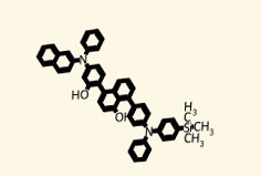 C[Si](C)(C)c1ccc(N(c2ccccc2)c2ccc(-c3cccc4c(-c5ccc(N(c6ccccc6)c6ccc7ccccc7c6)cc5O)ccc(O)c34)cc2)cc1